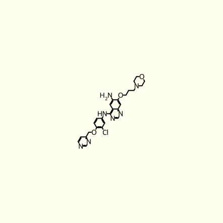 Nc1cc2c(Nc3ccc(OCc4ccncn4)c(Cl)c3)ncnc2cc1OCCCN1CCOCC1